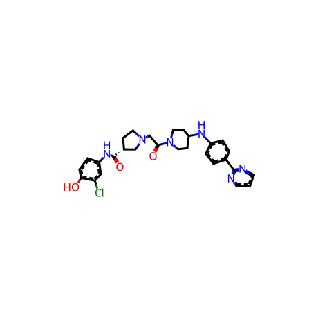 O=C(Nc1ccc(O)c(Cl)c1)[C@@H]1CCN(CC(=O)N2CCC(Nc3ccc(-c4ncccn4)cc3)CC2)C1